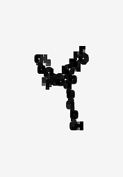 CCCOc1ccc(-c2cc(C(C(=O)OCCOCCOCCOCCO)n3cc4nc(-c5cccc(F)c5F)nc-4cn3)on2)c(C(F)(F)F)c1